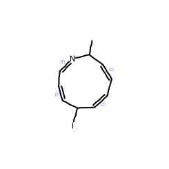 CC1/C=C\C=C/C(I)/C=C\C=N/1